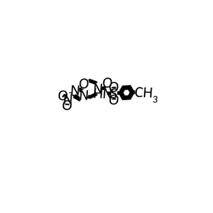 Cc1ccc(S(=O)(=O)NC(=O)N2CCOc3nc([N+](=O)[O-])cn3CC2)cc1